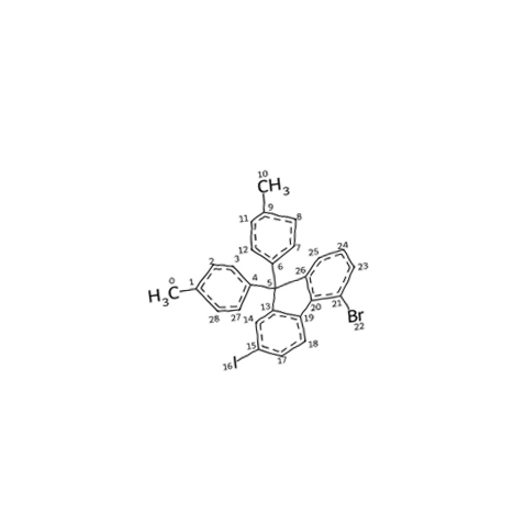 Cc1ccc(C2(c3ccc(C)cc3)c3cc(I)ccc3-c3c(Br)cccc32)cc1